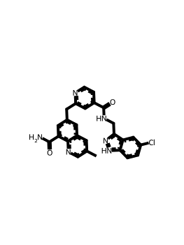 Cc1cnc2c(C(N)=O)cc(Cc3cc(C(=O)NCc4n[nH]c5ccc(Cl)cc45)ccn3)cc2c1